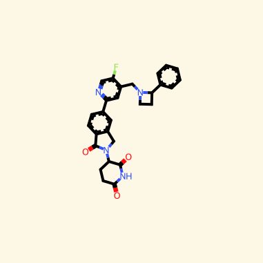 O=C1CCC(N2Cc3cc(-c4cc(CN5CCC5c5ccccc5)c(F)cn4)ccc3C2=O)C(=O)N1